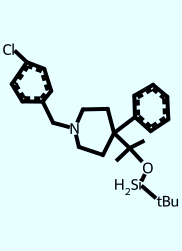 CC(C)(C)[SiH2]OC(C)(C)C1(c2ccccc2)CCN(Cc2ccc(Cl)cc2)CC1